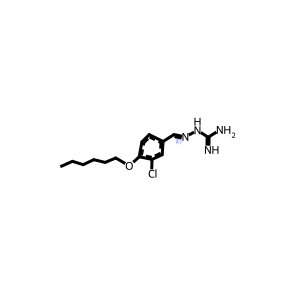 CCCCCCOc1ccc(/C=N/NC(=N)N)cc1Cl